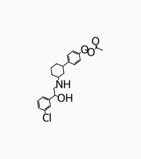 CC(=O)OOc1ccc(C2CCCC(NCC(O)c3cccc(Cl)c3)C2)cc1